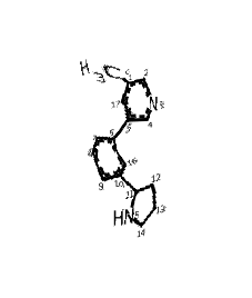 Cc1cncc(-c2cccc(C3CCCN3)c2)c1